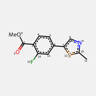 COC(=O)c1ccc(-c2cnc(C)s2)cc1F